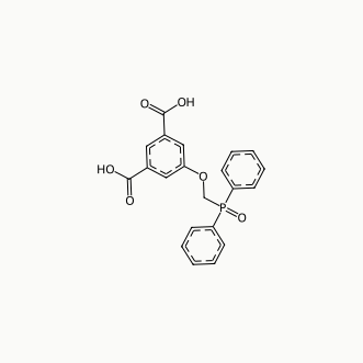 O=C(O)c1cc(OCP(=O)(c2ccccc2)c2ccccc2)cc(C(=O)O)c1